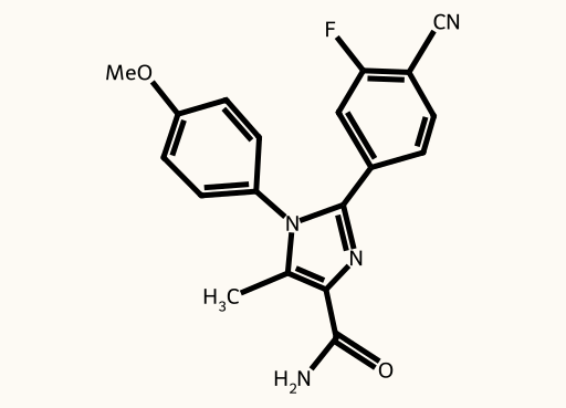 COc1ccc(-n2c(-c3ccc(C#N)c(F)c3)nc(C(N)=O)c2C)cc1